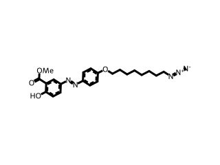 COC(=O)c1cc(N=Nc2ccc(OCCCCCCCCN=[N+]=[N-])cc2)ccc1O